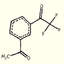 CC(=O)c1cccc(C(=O)C(F)(F)F)c1